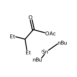 CCC(CC)C(=O)OC(C)=O.CCC[CH2][Sn][CH2]CCC